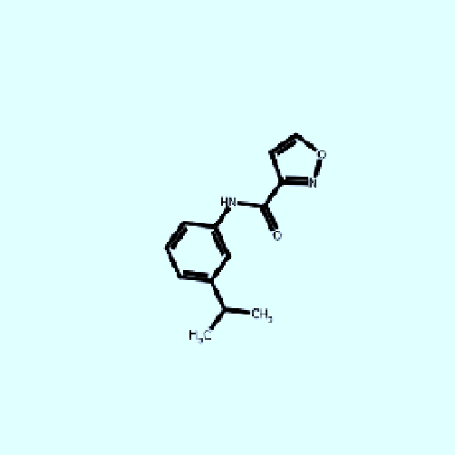 CC(C)c1cccc(NC(=O)c2ccon2)c1